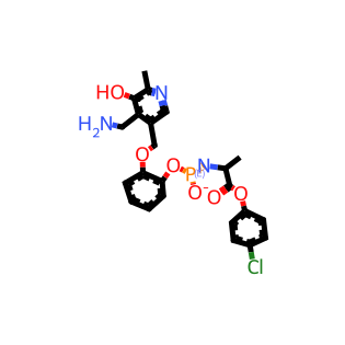 Cc1ncc(COc2ccccc2O/[P+]([O-])=N/C(C)C(=O)Oc2ccc(Cl)cc2)c(CN)c1O